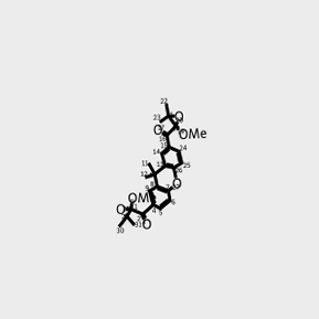 COC1(C(=O)c2ccc3c(c2)C(C)(C)c2cc(C(=O)C4(OC)OC4(C)C)ccc2O3)OC1(C)C